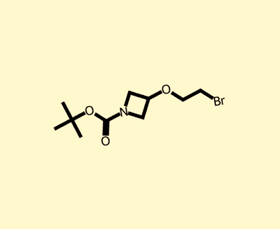 CC(C)(C)OC(=O)N1CC(OCCBr)C1